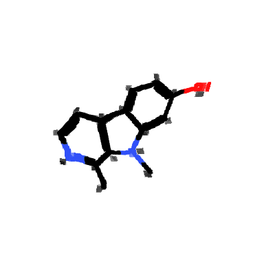 Cc1nccc2c3ccc(O)cc3n(C)c12